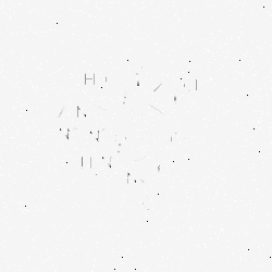 Cc1cc([C@@H](C)Oc2ccc(Cl)nc2C(N)=O)c2oc(-c3cnc4nccn4c3)c(C)c(=O)c2c1